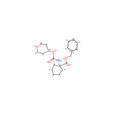 O=C(NC1(C(=O)OCc2ccccc2)CCCCC1)OC1CCOCC1